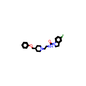 O=C(NCCN1CCC(COc2ccccc2)CC1)N1CCc2cc(F)ccc21